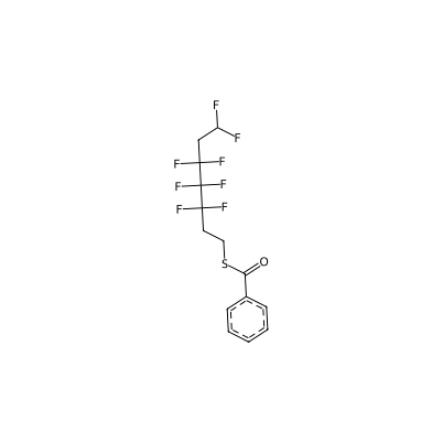 O=C(SCCC(F)(F)C(F)(F)C(F)(F)CC(F)F)c1ccccc1